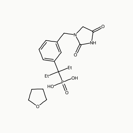 C1CCOC1.CCC(CC)(c1cccc(CN2CC(=O)NC2=O)c1)P(=O)(O)O